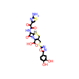 Nc1nc(C(=O)C(=O)N[C@@H]2C(=O)N3C(C(=O)O)=C(CSc4nnc(-c5ccc(O)c(O)c5)o4)CS[C@H]23)cs1